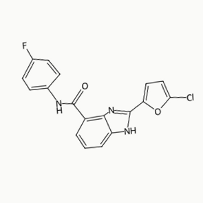 O=C(Nc1ccc(F)cc1)c1cccc2[nH]c(-c3ccc(Cl)o3)nc12